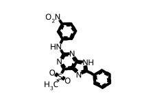 CS(=O)(=O)c1nc(Nc2cccc([N+](=O)[O-])c2)nc2[nH]c(-c3ccccc3)nc12